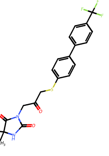 CC1(C)NC(=O)N(CC(=O)CSc2ccc(-c3ccc(C(F)(F)F)cc3)cc2)C1=O